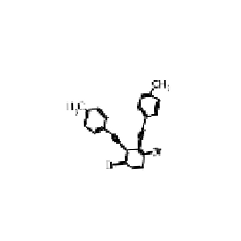 Cc1ccc(C#Cc2c(Br)ccc(Br)c2C#Cc2ccc(C)cc2)cc1